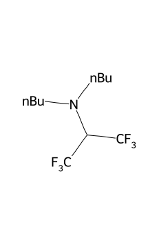 CCCCN(CCCC)C(C(F)(F)F)C(F)(F)F